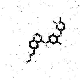 Cc1cc(Nc2ncnc3ccc(C=CCO)cc23)ccc1Oc1ccc(C)[n+]([O-])c1